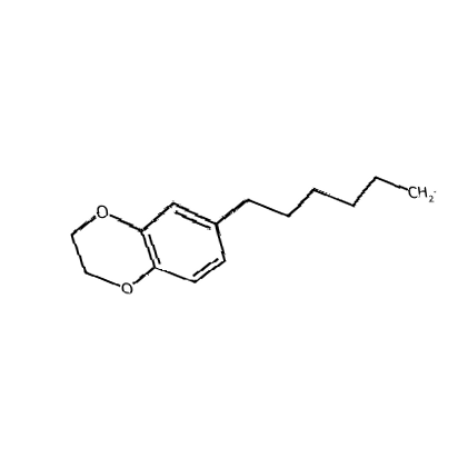 [CH2]CCCCCc1ccc2c(c1)OCCO2